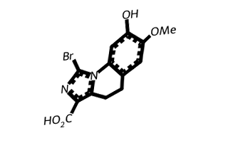 COc1cc2c(cc1O)-n1c(Br)nc(C(=O)O)c1CC2